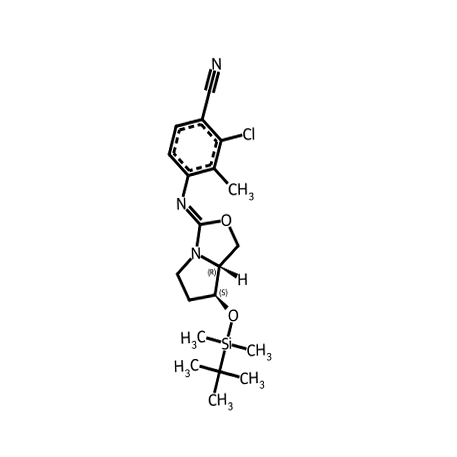 Cc1c(N=C2OC[C@@H]3[C@@H](O[Si](C)(C)C(C)(C)C)CCN23)ccc(C#N)c1Cl